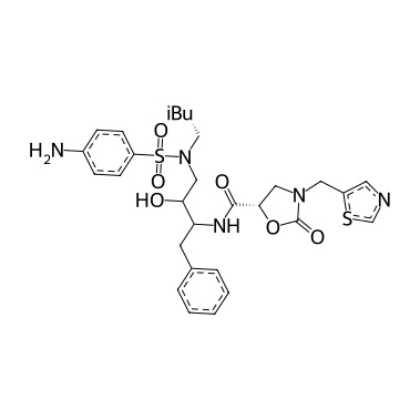 CC[C@@H](C)CN(CC(O)C(Cc1ccccc1)NC(=O)[C@@H]1CN(Cc2cncs2)C(=O)O1)S(=O)(=O)c1ccc(N)cc1